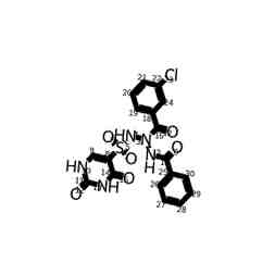 O=C(NN(NS(=O)(=O)c1c[nH]c(=O)[nH]c1=O)C(=O)c1cccc(Cl)c1)c1ccccc1